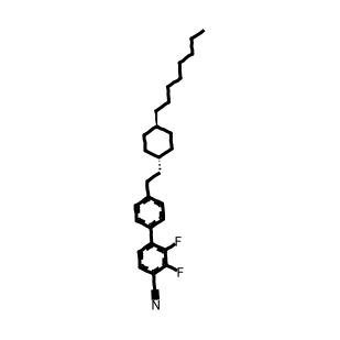 CCCCCCCC[C@H]1CC[C@H](CCc2ccc(-c3ccc(C#N)c(F)c3F)cc2)CC1